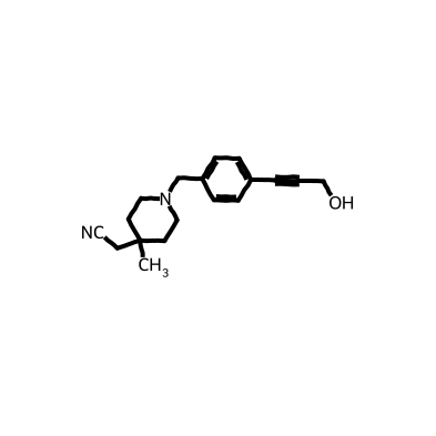 CC1(CC#N)CCN(Cc2ccc(C#CCO)cc2)CC1